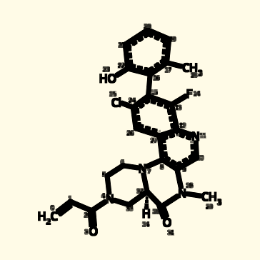 C=CC(=O)N1CCN2c3c(cnc4c(F)c(-c5c(C)cccc5O)c(Cl)cc34)N(C)C(=O)[C@H]2C1